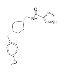 COc1ccc(C[C@H]2CC[C@@H](CNC(=O)c3cn[nH]c3)CC2)cc1